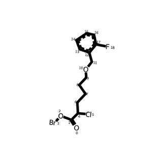 O=C(OBr)C(Cl)CCCCOCc1ccccc1F